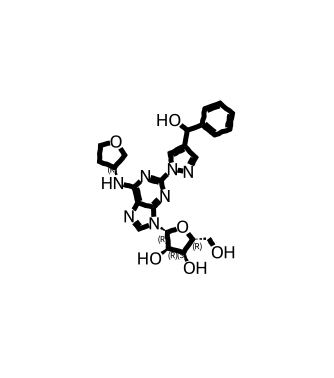 OC[C@H]1O[C@@H](n2cnc3c(N[C@@H]4CCOC4)nc(-n4cc(C(O)c5ccccc5)cn4)nc32)[C@H](O)[C@@H]1O